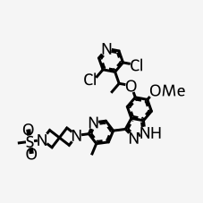 COc1cc2[nH]nc(-c3cnc(N4CC5(C4)CN(S(C)(=O)=O)C5)c(C)c3)c2cc1OC(C)c1c(Cl)cncc1Cl